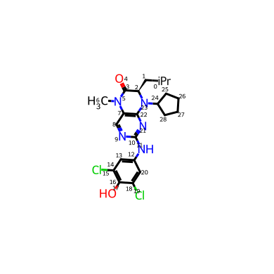 CC(C)C[C@@H]1C(=O)N(C)c2cnc(Nc3cc(Cl)c(O)c(Cl)c3)nc2N1C1CCCC1